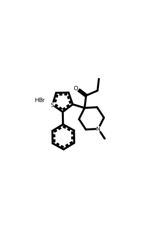 Br.CCC(=O)C1(c2ccsc2-c2ccccc2)CCN(C)CC1